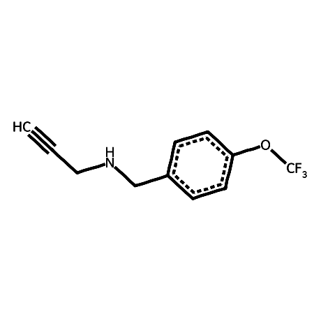 C#CCNCc1ccc(OC(F)(F)F)cc1